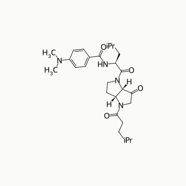 CC(C)CCC(=O)N1CC(=O)[C@@H]2[C@H]1CCN2C(=O)[C@H](CC(C)C)NC(=O)c1ccc(N(C)C)cc1